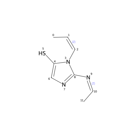 C/C=C\n1c(S)cnc1/N=C\C